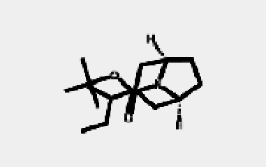 CCC(C)C1C[C@H]2CC[C@@H](C1)N2C(=O)OC(C)(C)C